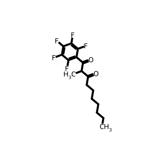 CCCCCCCC(=O)C(C)C(=O)c1c(F)c(F)c(F)c(F)c1F